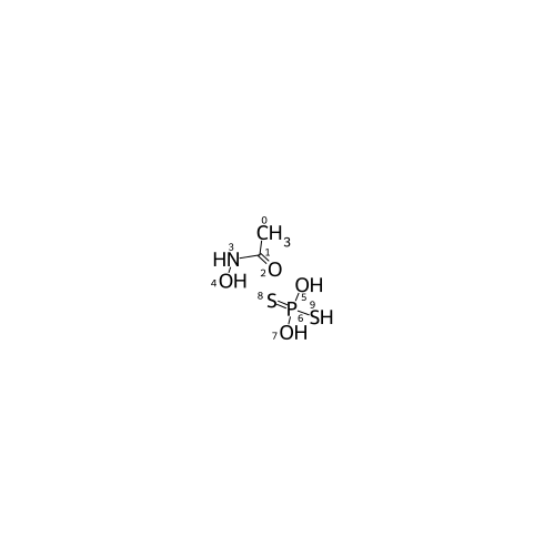 CC(=O)NO.OP(O)(=S)S